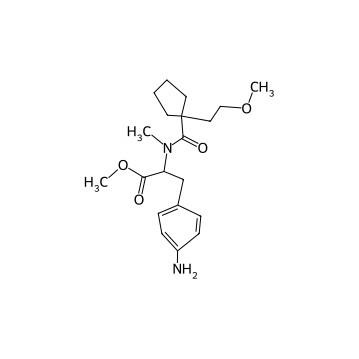 COCCC1(C(=O)N(C)C(Cc2ccc(N)cc2)C(=O)OC)CCCC1